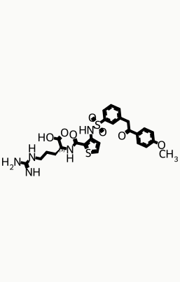 COc1ccc(C(=O)Cc2cccc(S(=O)(=O)Nc3ccsc3C(=O)N[C@@H](CCCNC(=N)N)C(=O)O)c2)cc1